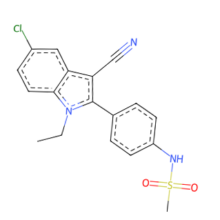 CCn1c(-c2ccc(NS(C)(=O)=O)cc2)c(C#N)c2cc(Cl)ccc21